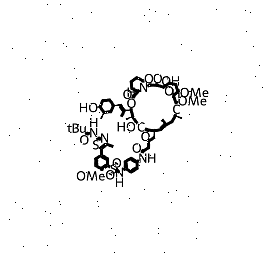 COc1ccc(-c2sc(NC(=O)C(C)(C)C)nc2C)cc1S(=O)(=O)Nc1ccc(NC(=O)CCC[C@@H]2/C=C(\C)C[C@H](C)C[C@H](OC)[C@H]3O[C@@](O)(C(=O)C(=O)N4CCCC[C@H]4C(=O)O[C@H](/C(C)=C/[C@@H]4CC[C@@H](O)[C@H](C)C4)[C@H](C)[C@@H](O)CC2=O)[C@H](C)C[C@@H]3OC)cc1